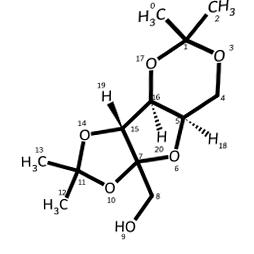 CC1(C)OC[C@H]2OC3(CO)OC(C)(C)O[C@@H]3[C@H]2O1